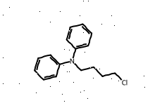 ClCCCCN(c1ccccc1)c1ccccc1